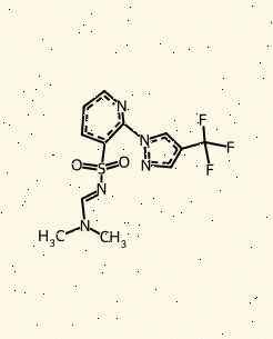 CN(C)C=NS(=O)(=O)c1cccnc1-n1cc(C(F)(F)F)cn1